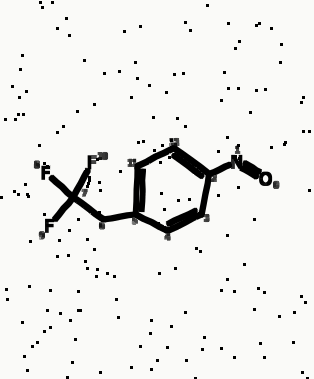 O=Nc1ccc(CC(F)(F)F)cc1